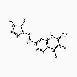 Cc1ncn(COc2ccc3c(C)c(C)c(=O)oc3c2)c1C